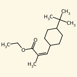 CCOC(=O)C(C)=CC1CCC(C(C)(C)C)CC1